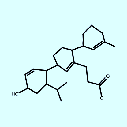 CC1=CC(C2CCC(C3C=CC(O)CC3C(C)C)C=C2CCC(=O)O)CCC1